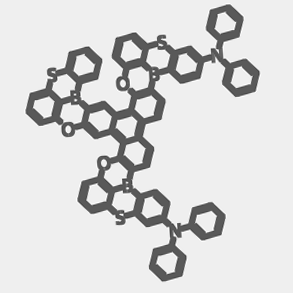 c1ccc(N(c2ccccc2)c2ccc3c(c2)Sc2cccc4c2B3c2ccc3c5ccc6c(c5c5cc7c(cc5c3c2O4)Oc2cccc3c2B7c2ccccc2S3)Oc2cccc3c2B6c2ccc(N(c4ccccc4)c4ccccc4)cc2S3)cc1